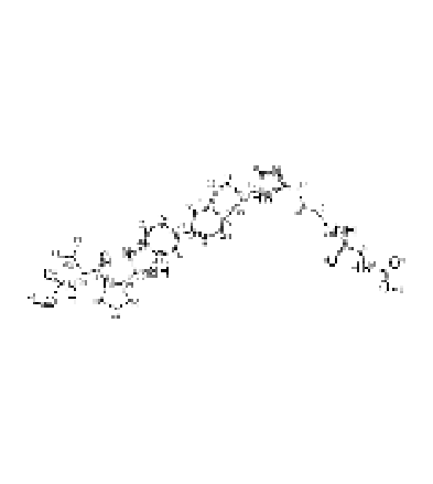 COC(=O)NCC(=O)NCCCCc1ncc(-c2ccc3cc(-c4ccc5nc(C6CCCN6C(=O)C(NC(=O)OC)C(C)C)[nH]c5c4)ccc3c2)[nH]1